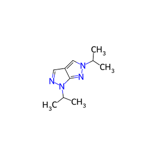 CC(C)n1cc2cnn(C(C)C)c2n1